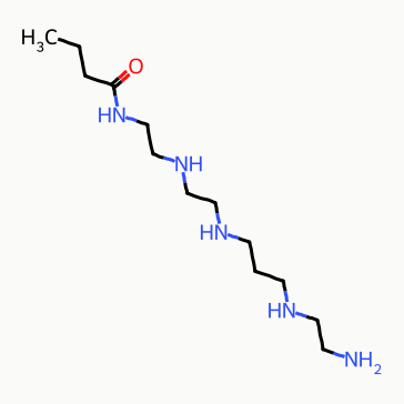 CCCC(=O)NCCNCCNCCCNCCN